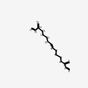 C=CC(=C)CCCCC=CCCCCC(=C)C=C